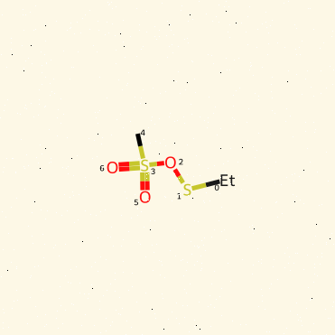 CCSOS(C)(=O)=O